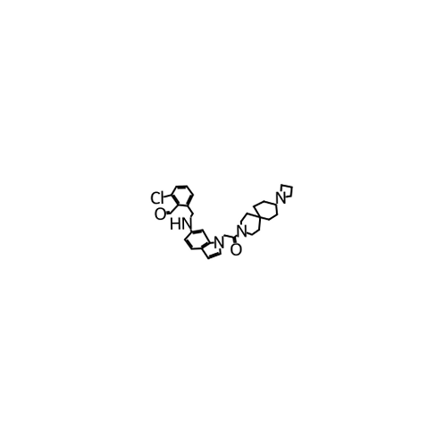 O=Cc1c(Cl)cccc1CNc1ccc2ccn(CC(=O)N3CCC4(CCC(N5CCC5)CC4)CC3)c2c1